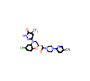 N#Cc1ccc(N2CCN(C(=O)C[C@H]3CN(c4cc(C(F)(F)F)c(=O)[nH]n4)c4cc(Cl)ccc4O3)CC2)nc1